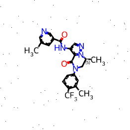 Cc1cncc(C(=O)Nc2cnn3c2C(=O)N(c2ccc(C(F)(F)F)c(C)c2)C[C@@H]3C)c1